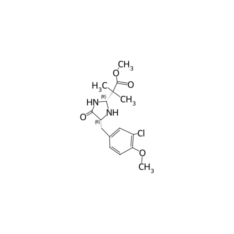 COC(=O)C(C)(C)[C@H]1NC(=O)[C@@H](Cc2ccc(OC)c(Cl)c2)N1